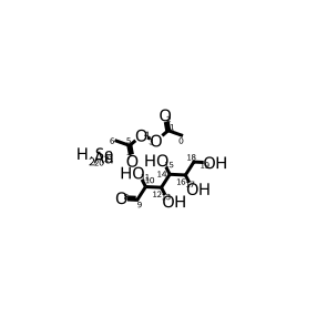 CC(=O)OOC(C)=O.O=CC(O)C(O)C(O)C(O)CO.[Au].[SeH2]